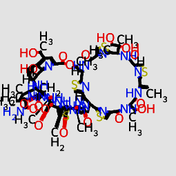 C=C(NC(=O)C(=C)NC(=O)c1csc(C2=N[C@@H]3c4csc(n4)[C@H]4NC(=O)c5csc(n5)[C@H]([C@](C)(O)[C@@H](C)O)NC(=O)[C@H]5CSC(=N5)/C(=C/C)NC(=O)[C@H]([C@@H](C)O)NC(=O)c5csc(n5)[C@]3(CC2)NC(=O)[C@H](C)NC(=O)C(=C)NC(=O)[C@H](C)NC(=O)[C@H]([C@@H](C)CC)N[C@@H]2C=Cc3c([C@H](C)O)cc(nc3[C@H]2O)C(=O)O[C@@H]4C)n1)C(N)=O